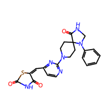 O=C1NC(=O)/C(=C\c2ccnc(N3CCC4(CC3)C(=O)NCN4c3ccccc3)n2)S1